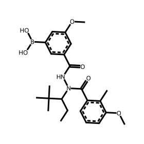 CCC(N(NC(=O)c1cc(OC)cc(B(O)O)c1)C(=O)c1cccc(OC)c1C)C(C)(C)C